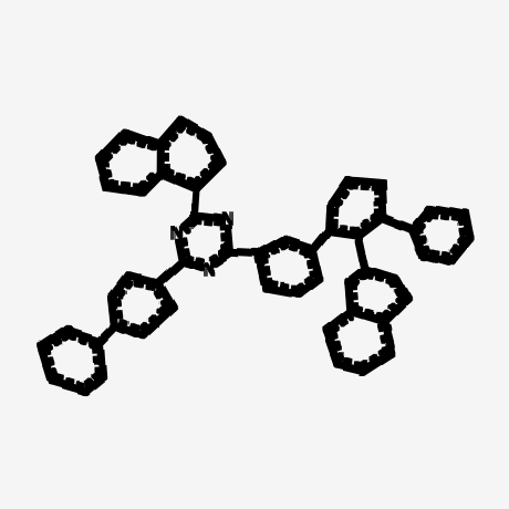 c1ccc(-c2ccc(-c3nc(-c4cccc(-c5cccc(-c6ccccc6)c5-c5ccc6ccccc6c5)c4)nc(-c4cccc5ccccc45)n3)cc2)cc1